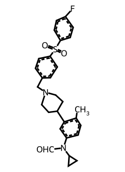 Cc1ccc(N(C=O)C2CC2)cc1C1CCN(Cc2ccc(S(=O)(=O)c3ccc(F)cc3)cc2)CC1